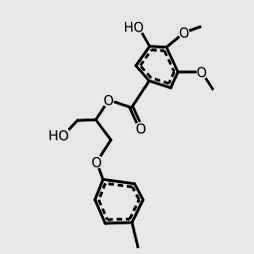 COc1cc(C(=O)OC(CO)COc2ccc(C)cc2)cc(O)c1OC